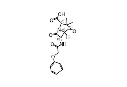 CC1(C)[C@H](C(=O)O)N2C(=O)[C@@H](NC(=O)COc3ccccc3)[C@H]2[S+]1[O-]